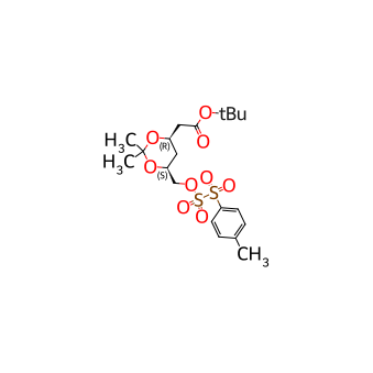 Cc1ccc(S(=O)(=O)S(=O)(=O)OC[C@@H]2C[C@H](CC(=O)OC(C)(C)C)OC(C)(C)O2)cc1